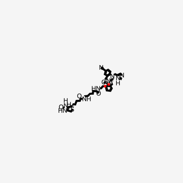 N#Cc1ccc2c(c1)CN(S(=O)(=O)CCCNC(=O)CCCCCNC(=O)CCCC[C@H]1SCC3NC(=O)N[C@H]31)[C@H](Cc1ccccc1)CN2Cc1cnc[nH]1